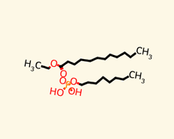 CCCCCCCCCCCC(=O)OCC.CCCCCCCCOP(=O)(O)O